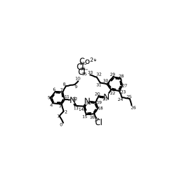 CCCc1cccc(CCC)c1N=Cc1cc(Cl)cc(C=Nc2c(CCC)cccc2CCC)n1.[Cl-].[Cl-].[Co+2]